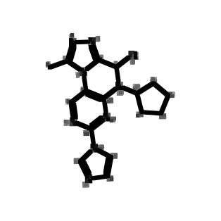 CCC1c2nnc(C)n2-c2cnc(-n3ccnc3)nc2N1C1CCCC1